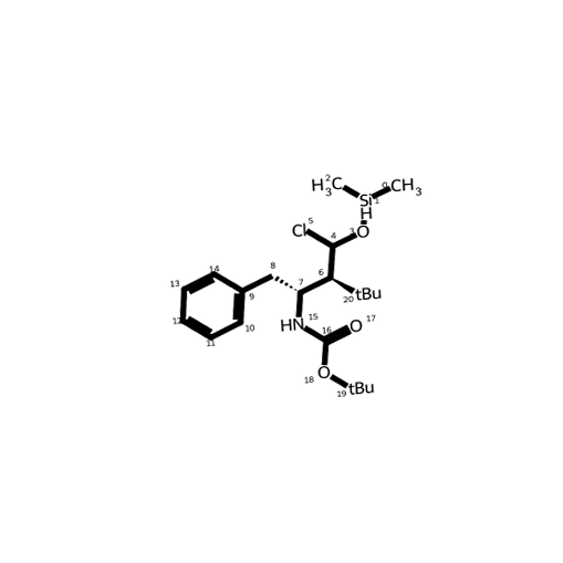 C[SiH](C)OC(Cl)[C@H]([C@@H](Cc1ccccc1)NC(=O)OC(C)(C)C)C(C)(C)C